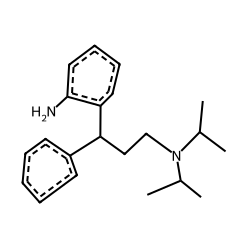 CC(C)N(CCC(c1ccccc1)c1ccccc1N)C(C)C